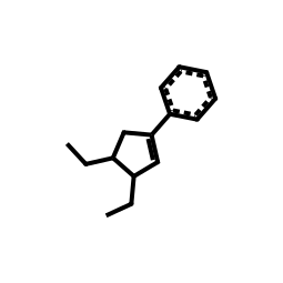 CCC1C=C(c2ccccc2)CC1CC